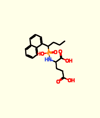 CCCC(c1cccc2ccccc12)P(=O)(O)NC(CCC(=O)O)C(=O)O